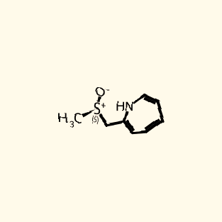 C[S@@+]([O-])CC1=CC=CC=CN1